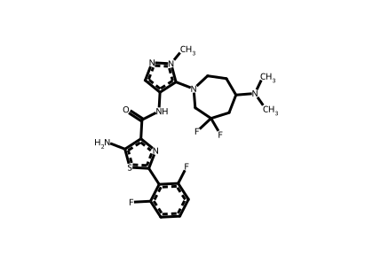 CN(C)C1CCN(c2c(NC(=O)c3nc(-c4c(F)cccc4F)sc3N)cnn2C)CC(F)(F)C1